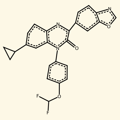 O=c1c(-c2ccc3ncoc3c2)nc2ccc(C3CC3)cc2n1-c1ccc(OC(F)F)cc1